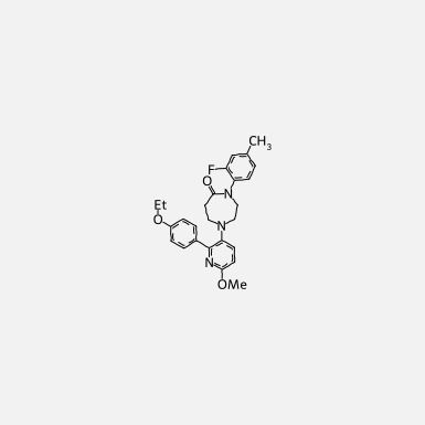 CCOc1ccc(-c2nc(OC)ccc2N2CCC(=O)N(c3ccc(C)cc3F)CC2)cc1